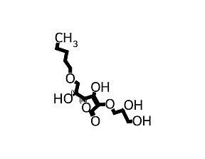 CCCCCOC[C@H](O)[C@H]1OC(=O)C(OCC(O)CO)=C1O